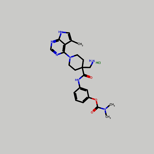 Cc1c[nH]c2ncnc(N3CCC(CN)(C(=O)Nc4cccc(OC(=O)N(C)C)c4)CC3)c12.Cl